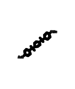 COc1ccc(C(C)(C)c2ccc(C(C)(C)c3ccc(OC(C)=O)cc3)cc2)cc1